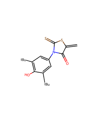 C=C1SC(=S)N(c2cc(C(C)(C)C)c(O)c(C(C)(C)C)c2)C1=O